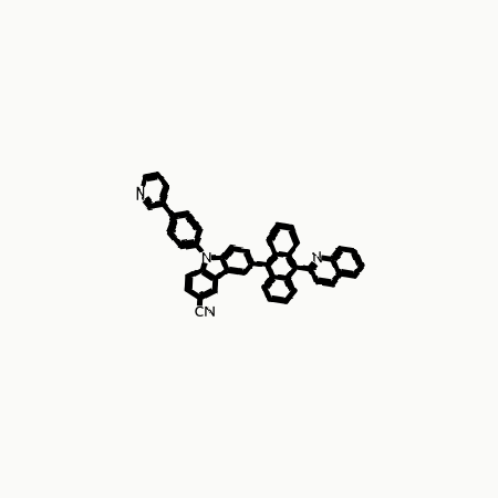 N#Cc1ccc2c(c1)c1cc(-c3c4ccccc4c(-c4ccc5ccccc5n4)c4ccccc34)ccc1n2-c1ccc(-c2cccnc2)cc1